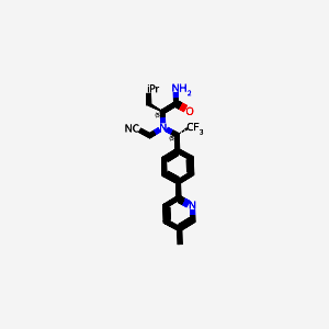 Cc1ccc(-c2ccc([C@H](N(CC#N)[C@@H](CC(C)C)C(N)=O)C(F)(F)F)cc2)nc1